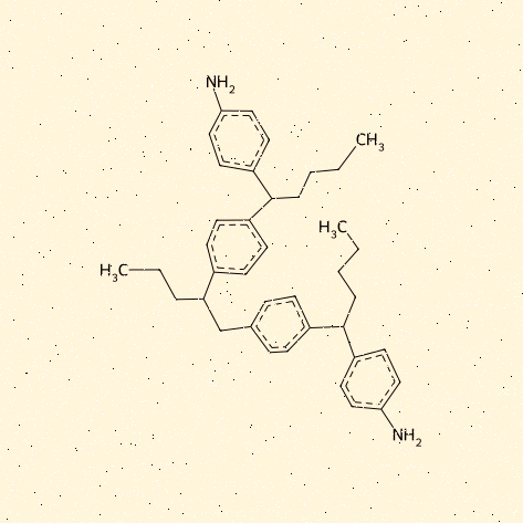 CCCCC(c1ccc(N)cc1)c1ccc(CC(CCC)c2ccc(C(CCCC)c3ccc(N)cc3)cc2)cc1